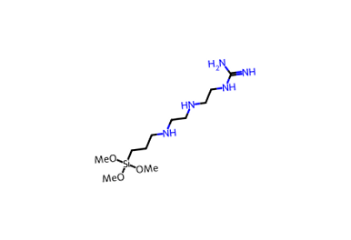 CO[Si](CCCNCCNCCNC(=N)N)(OC)OC